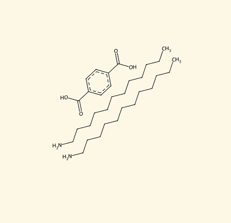 CCCCCCCCCCCCN.CCCCCCCCCCCCN.O=C(O)c1ccc(C(=O)O)cc1